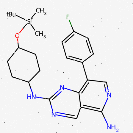 CC(C)(C)[Si](C)(C)OC1CCC(Nc2ncc3c(N)ncc(-c4ccc(F)cc4)c3n2)CC1